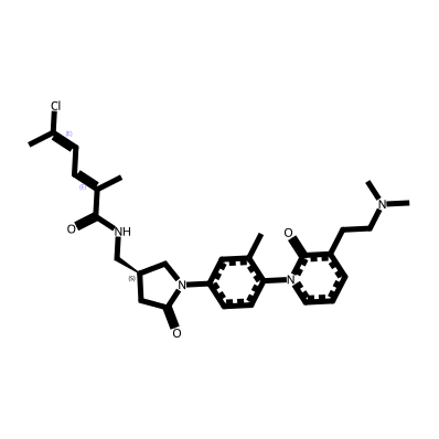 C/C(Cl)=C\C=C(/C)C(=O)NC[C@@H]1CC(=O)N(c2ccc(-n3cccc(CCN(C)C)c3=O)c(C)c2)C1